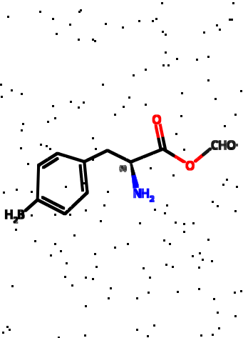 Bc1ccc(C[C@H](N)C(=O)O[C]=O)cc1